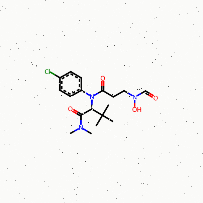 CN(C)C(=O)[C@@H](N(C(=O)CCN(O)C=O)c1ccc(Cl)cc1)C(C)(C)C